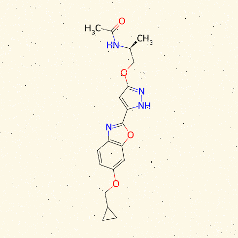 CC(=O)N[C@@H](C)COc1cc(-c2nc3ccc(OCC4CC4)cc3o2)[nH]n1